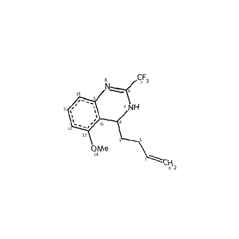 C=CCCC1NC(C(F)(F)F)=Nc2cccc(OC)c21